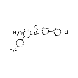 Cc1ccc(C(CCNC(=O)c2ccc(-c3ccc(Cl)cc3)cc2)N(C)C)cc1